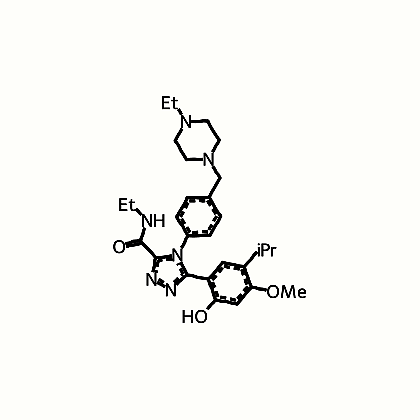 CCNC(=O)c1nnc(-c2cc(C(C)C)c(OC)cc2O)n1-c1ccc(CN2CCN(CC)CC2)cc1